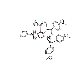 COc1ccc(C(=CN(C=C(c2ccc(OC)cc2)c2ccc(OC)cc2)c2ccc3nn(-c4ccccc4)nc3c2)c2ccc(OC)cc2)cc1